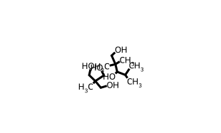 CC(C)C(O)C(C)(C)CO.CC(CO)(CO)CO